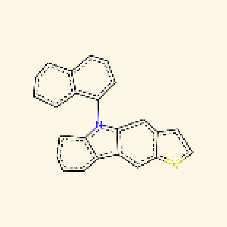 c1ccc2c(-n3c4ccccc4c4cc5sccc5cc43)cccc2c1